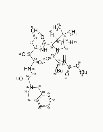 C=CCC(NC(=O)[C@@H]1[C@@H]2[C@H](CN1C(=O)[C@@H](NC(=O)OC(C)(C)C)C(C)(C)C)C2(C)C)C(=O)C(=O)NCC(=O)N1CCc2ccccc2C1